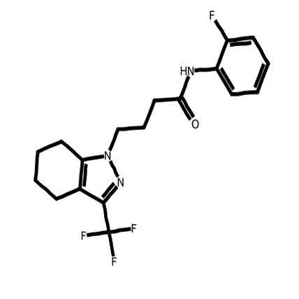 O=C(CCCn1nc(C(F)(F)F)c2c1CCCC2)Nc1ccccc1F